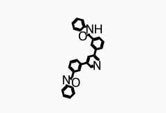 c1cc(-c2cncc(-c3cccc(C4Nc5ccccc5O4)c3)c2)cc(-c2nc3ccccc3o2)c1